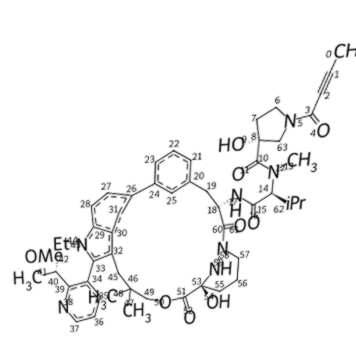 CC#CC(=O)N1CC[C@](O)(C(=O)N(C)[C@H](C(=O)N[C@H]2Cc3cccc(c3)-c3ccc4c(c3)c(c(-c3cccnc3[C@H](C)OC)n4CC)CC(C)(C)COC(=O)[C@@]3(O)CCCN(N3)C2=O)C(C)C)C1